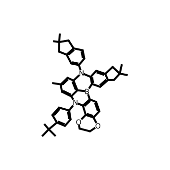 Cc1cc2c3c(c1)N(c1ccc(C(C)(C)C)cc1)c1c(ccc4c1OCCO4)B3c1cc3c(cc1N2c1ccc2c(c1)CC(C)(C)C2)CC(C)(C)C3